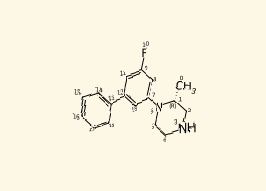 C[C@@H]1CNCCN1c1cc(F)cc(-c2ccccc2)c1